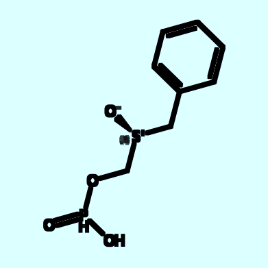 O=[PH](O)OC[S@@+]([O-])Cc1ccccc1